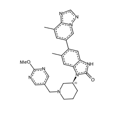 COc1ncc(CN2CCC[C@H](n3c(=O)[nH]c4cc(-c5cc(C)c6ncnn6c5)c(C)cc43)C2)cn1